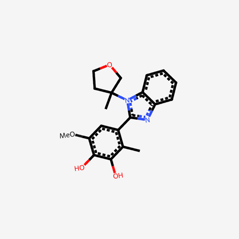 COc1cc(-c2nc3ccccc3n2C2(C)CCOC2)c(C)c(O)c1O